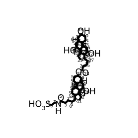 C[C@H](CCC(=O)NCCS(=O)(=O)O)[C@H]1CC[C@H]2[C@@H]3[C@@H](O)C[C@@H]4C[C@H](OC(=O)CC[C@@H](C)[C@H]5CC[C@H]6[C@@H]7[C@@H](O)C[C@@H]8C[C@H](O)CC[C@]8(C)[C@H]7C[C@H](O)[C@]56C)CC[C@]4(C)[C@H]3CC[C@]12C